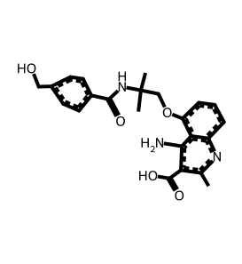 Cc1nc2cccc(OCC(C)(C)NC(=O)c3ccc(CO)cc3)c2c(N)c1C(=O)O